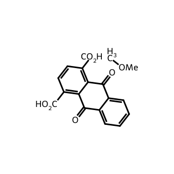 COC.O=C(O)c1ccc(C(=O)O)c2c1C(=O)c1ccccc1C2=O